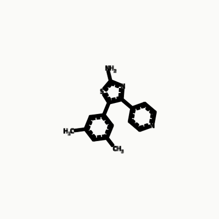 Cc1cc(C)cc(-c2sc(N)nc2-c2ccncc2)c1